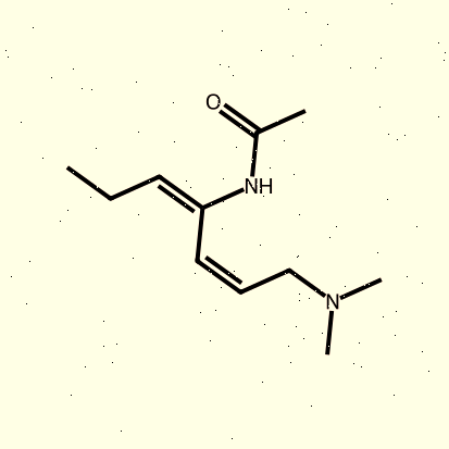 CC/C=C(\C=C/CN(C)C)NC(C)=O